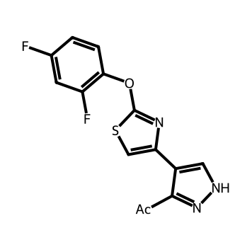 CC(=O)c1n[nH]cc1-c1csc(Oc2ccc(F)cc2F)n1